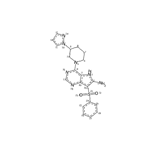 Nc1[nH]c2c(N3CCCC(n4cccn4)C3)ncnc2c1S(=O)(=O)c1ccccc1